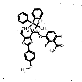 C=Cc1oc(-c2ccc(OC)cc2)nc1C(COc1ccc(F)c(C(N)=O)c1F)O[Si](c1ccccc1)(c1ccccc1)C(C)(C)C